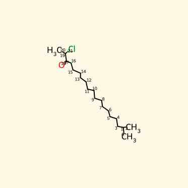 CC(C)CCCCCCCCCCCCCCC(=O)C(C)Cl